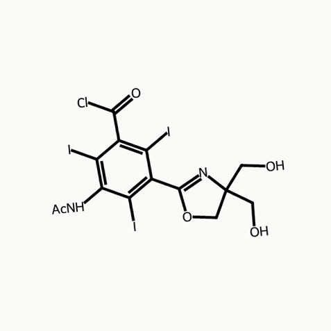 CC(=O)Nc1c(I)c(C(=O)Cl)c(I)c(C2=NC(CO)(CO)CO2)c1I